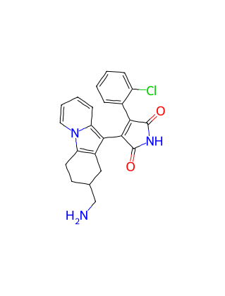 NCC1CCc2c(c(C3=C(c4ccccc4Cl)C(=O)NC3=O)c3ccccn23)C1